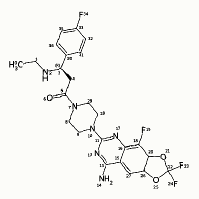 CCN[C@H](CC(=O)N1CCN(c2nc(N)c3c(n2)=C(F)C2OC(F)(F)OC2C=3)CC1)c1ccc(F)cc1